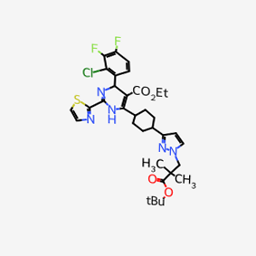 CCOC(=O)C1=C(C2CCC(c3ccn(CC(C)(C)C(=O)OC(C)(C)C)n3)CC2)NC(c2nccs2)=NC1c1ccc(F)c(F)c1Cl